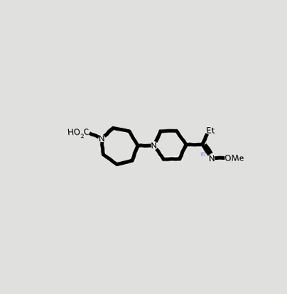 CC/C(=N\OC)C1CCN(C2CCCN(C(=O)O)CC2)CC1